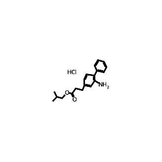 CC(C)COC(=O)CCc1ccc(-c2ccccc2)c(N)c1.Cl